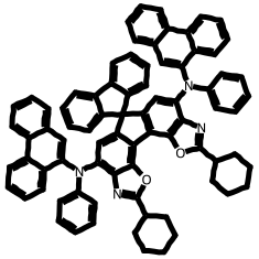 c1ccc(N(c2cc3ccccc3c3ccccc23)c2cc3c(c4oc(C5CCCCC5)nc24)-c2c(cc(N(c4ccccc4)c4cc5ccccc5c5ccccc45)c4nc(C5CCCCC5)oc24)C32c3ccccc3-c3ccccc32)cc1